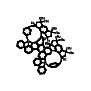 CCCCC1(CCCC)CC(CC)(CC)c2c1cc1c3c2-c2cc4c(ccc5c6ccc7c8cc(cc(c(c2)c45)c86)-c2c4c(cc5c2C(CC)(Cc2ccc(cc2)[Si]7(c2ccccc2)c2ccccc2)CC5(CCCC)CCCC)C(CCCC)(CCCC)CC4(CC)CC)[Si](c2ccccc2)(c2ccccc2)c2ccc(cc2)CC3(CC)CC1(CCCC)CCCC